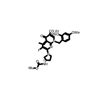 CCOC(=O)c1cn(Cc2ccc(OC)cc2OC)c2nc(N3CC[C@H](NC(=O)OC(C)(C)C)C3)c(F)c(C)c2c1=O